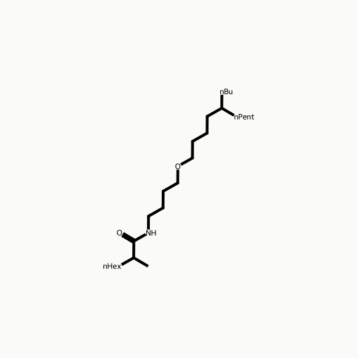 CCCCCCC(C)C(=O)NCCCCOCCCCC(CCCC)CCCCC